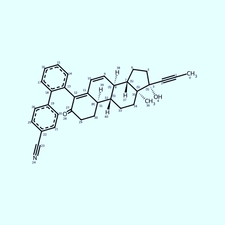 CC#C[C@]1(O)CC[C@H]2[C@@H]3C=CC4=C(c5ccccc5-c5ccc(C#N)cc5)C(=O)CC[C@@H]4[C@H]3CC[C@@]21C